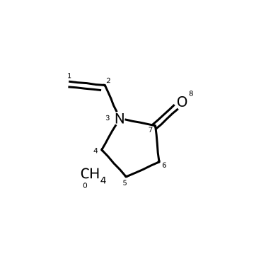 C.C=CN1CCCC1=O